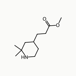 COC(=O)CCC1CCNC(C)(C)C1